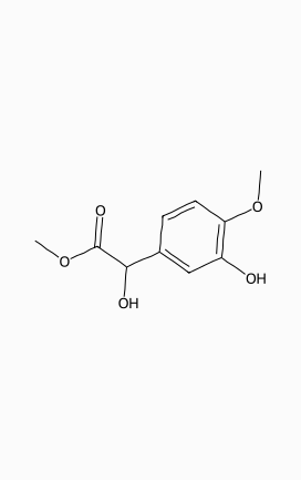 COC(=O)C(O)c1ccc(OC)c(O)c1